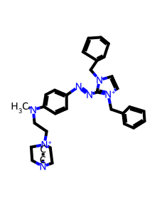 CN(CC[N+]12CCN(CC1)CC2)c1ccc(N=Nc2n(Cc3ccccc3)cc[n+]2Cc2ccccc2)cc1